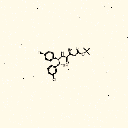 CC(C)(C)OC(=O)CC(Br)C(=O)N[C@H](c1ccc(Cl)cc1)[C@@H](O)c1cccc(Cl)c1